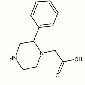 O=C(O)CN1CCNCC1c1ccccc1